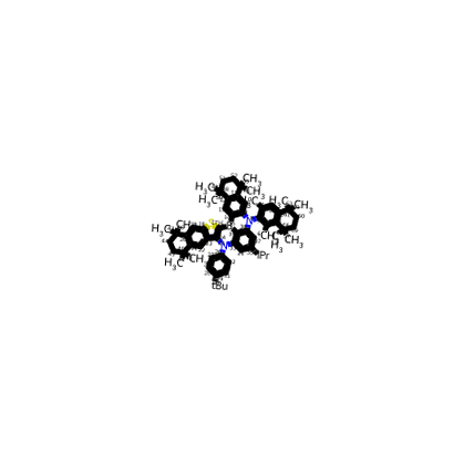 Cc1cc2c(c(C)c1N1c3cc4c(cc3B3c5sc6cc7c(cc6c5N(c5ccc(C(C)(C)C)cc5)c5cc(C(C)C)cc1c53)C(C)(C)CCC7(C)C)C(C)(C)CCC4(C)C)C(C)(C)CCC2(C)C